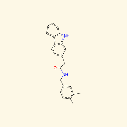 Cc1ccc(CNC(=O)Cc2ccc3c(c2)[nH]c2ccccc23)cc1C